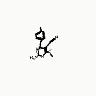 CSc1nc(N)nc(-c2ccc(C)cc2)c1C#N